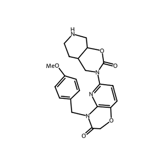 COc1ccc(CN2C(=O)COc3ccc(N4CC5CCNCC5OC4=O)nc32)cc1